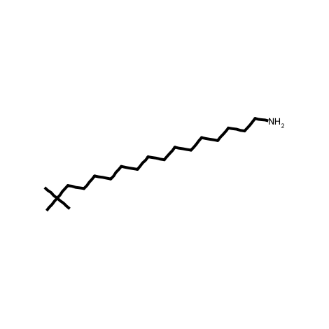 CC(C)(C)CCCCCCCCCCCCCCCN